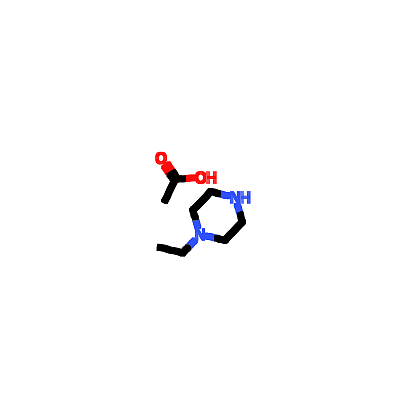 CC(=O)O.CCN1CCNCC1